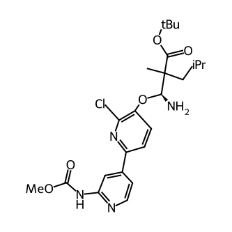 COC(=O)Nc1cc(-c2ccc(O[C@H](N)C(C)(CC(C)C)C(=O)OC(C)(C)C)c(Cl)n2)ccn1